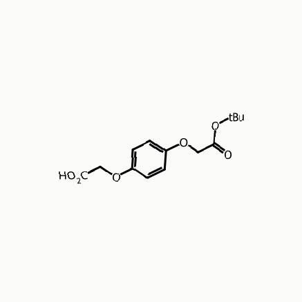 CC(C)(C)OC(=O)COc1ccc(OCC(=O)O)cc1